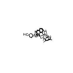 Cc1cc(C)nc(NC(=O)c2cccc3cnc(N[C@H]4CC[C@H](O)CC4)nc23)n1